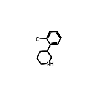 Clc1ccccc1C1CCCNC1